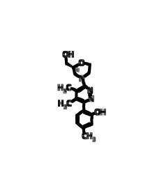 Cc1ccc(-c2nnc(N3CCO[C@H](CO)C3)c(C)c2C)c(O)c1